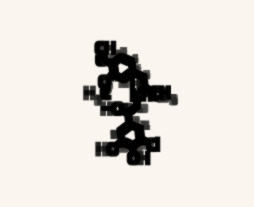 COc1ccc(CC(C)NCC(O)c2cc(O)c(O)c(Cl)c2)cc1OC.Cl